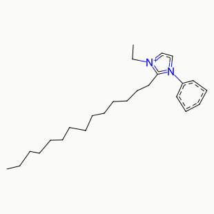 CCCCCCCCCCCCCCc1n(-c2ccccc2)cc[n+]1CC